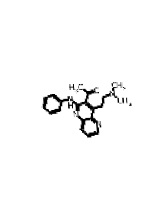 CC(=O)c1c(Nc2ccccc2)nc2cccnc2c1CCN(C)C